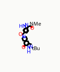 CNC(=O)c1n[nH]c2cc(C(=O)N3CCC4(CC3)CC(=O)C3=C(CN(C(C)(C)C)N3)C4)ccc12